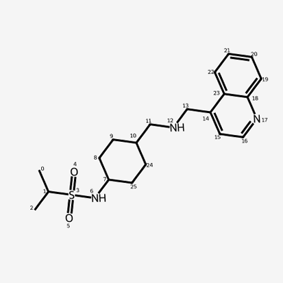 CC(C)S(=O)(=O)NC1CCC(CNCc2ccnc3ccccc23)CC1